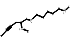 CC#CCC(COCCCCCNC)NC